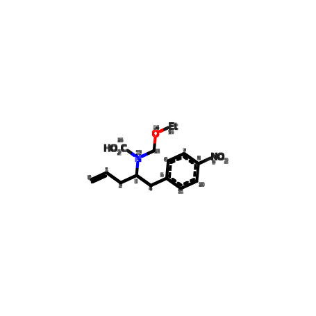 C=CCC(Cc1ccc([N+](=O)[O-])cc1)N(COCC)C(=O)O